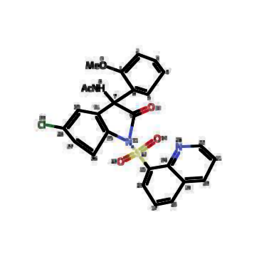 COc1ccccc1C1(NC(C)=O)C(=O)N(S(=O)(=O)c2cccc3cccnc23)c2ccc(Cl)cc21